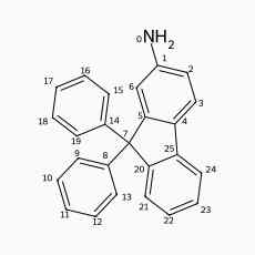 Nc1ccc2c(c1)C(c1ccccc1)(c1ccccc1)c1ccccc1-2